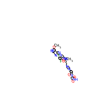 CCOc1cc(-c2ccc(N3CCC(CN(C)C(=O)CCCCN4CCN(c5ccc6c(c5)C(=O)N(C5CCC(=O)NC5=O)C6)CC4)(NC(=O)c4cc(F)ccc4F)CC3)nc2)c2c(C#N)cnn2c1